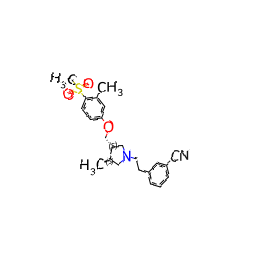 Cc1cc(OC[C@@H]2CN(CCc3cccc(C#N)c3)C[C@H]2C)ccc1S(C)(=O)=O